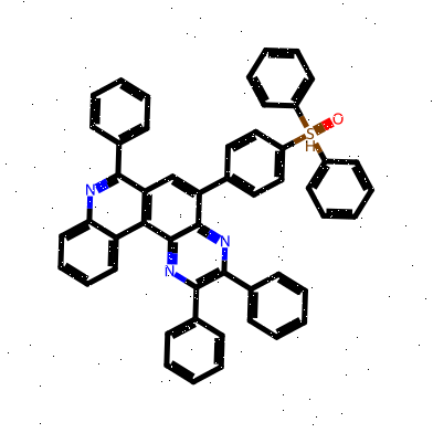 O=[SH](c1ccccc1)(c1ccccc1)c1ccc(-c2cc3c(-c4ccccc4)nc4ccccc4c3c3nc(-c4ccccc4)c(-c4ccccc4)nc23)cc1